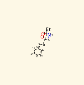 CCC(=O)N(C)CC(=O)CCc1ccccc1